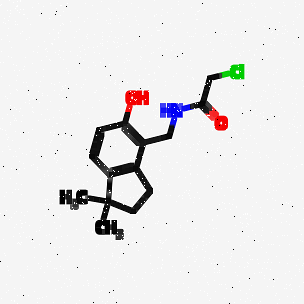 CC1(C)CCc2c1ccc(O)c2CNC(=O)CCl